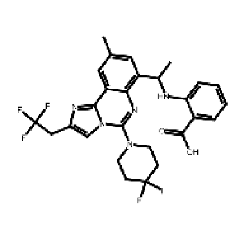 Cc1cc(C(C)Nc2ccccc2C(=O)O)c2nc(N3CCC(F)(F)CC3)n3cc(CC(F)(F)F)nc3c2c1